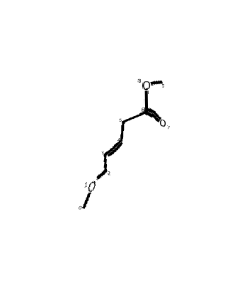 COCC=CCC(=O)OC